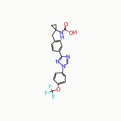 O=C(O)NC1(Cc2ccc(-c3ncn(-c4ccc(OC(F)(F)F)cc4)n3)cc2)CC1